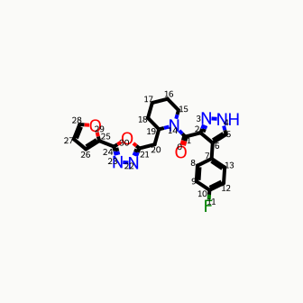 O=C(c1n[nH]cc1-c1ccc(F)cc1)N1CCCCC1Cc1nnc(-c2ccco2)o1